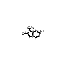 CC(=O)On1c(Cl)cc2ccc(Cl)nc21